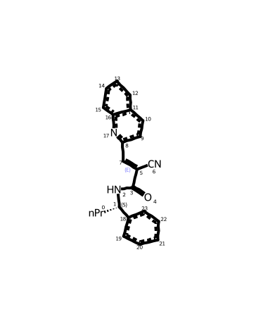 CCC[C@H](NC(=O)/C(C#N)=C/c1ccc2ccccc2n1)c1ccccc1